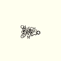 CCOC(=O)NC(=NC(CC(C)(C)C)C(=O)N(C#N)CCCc1ccccc1)N1CCOCC1